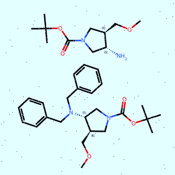 COC[C@@H]1CN(C(=O)OC(C)(C)C)C[C@H]1N.COC[C@@H]1CN(C(=O)OC(C)(C)C)C[C@H]1N(Cc1ccccc1)Cc1ccccc1